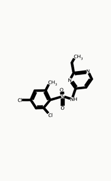 CCc1nccc(NS(=O)(=O)c2c(C)cc(Cl)cc2Cl)n1